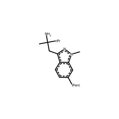 CCCC(C)c1ccc2c(CC(C)(N)CCC)nn(C)c2c1